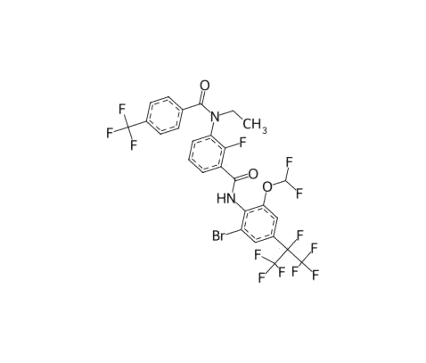 CCN(C(=O)c1ccc(C(F)(F)F)cc1)c1cccc(C(=O)Nc2c(Br)cc(C(F)(C(F)(F)F)C(F)(F)F)cc2OC(F)F)c1F